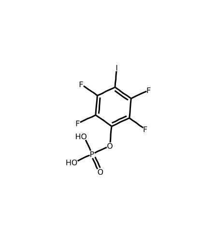 O=P(O)(O)Oc1c(F)c(F)c(I)c(F)c1F